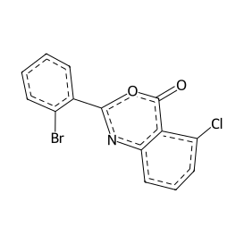 O=c1oc(-c2ccccc2Br)nc2cccc(Cl)c12